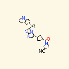 N#CC1CCN(C(=O)c2ccc(-c3cnc4ncc(C5(c6ccc7ncccc7c6)CC5)n4c3)cc2)C1